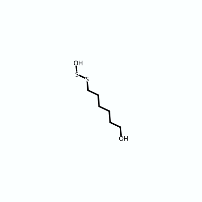 OCCCCCCSSO